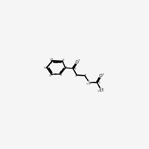 CCC(=O)SCCC(=O)c1ccccc1